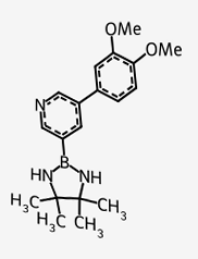 COc1ccc(-c2cncc(B3NC(C)(C)C(C)(C)N3)c2)cc1OC